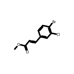 COC(=O)C=Cc1ccc(Br)c(Cl)c1